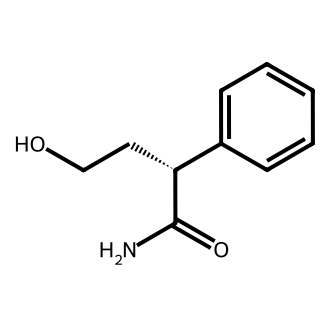 NC(=O)[C@H](CCO)c1ccccc1